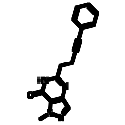 Cn1ncc2nc(CCC#Cc3ccccc3)[nH]c(=O)c21